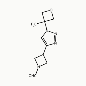 O=CN1CC(c2cn(C3(C(F)(F)F)COC3)nn2)C1